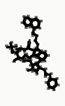 CCOC(=O)c1c(CCCOc2cccc3ccccc23)c2cccc(-c3c(COCc4ccccc4)nn(C)c3CBr)c2n1CCCN(C)C(=O)OC(C)(C)C